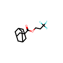 O=C(OCCC(F)(F)F)C12CC3CC(CC(C3)C1)C2